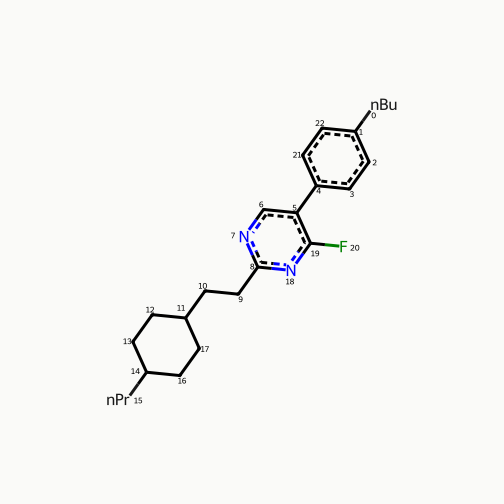 CCCCc1ccc(-c2cnc(CCC3CCC(CCC)CC3)nc2F)cc1